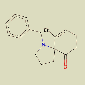 CCC1=CCCC(=O)C12CCCN2Cc1ccccc1